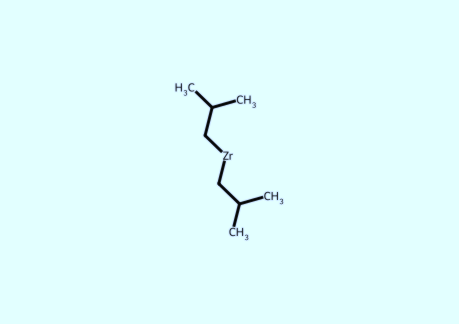 CC(C)[CH2][Zr][CH2]C(C)C